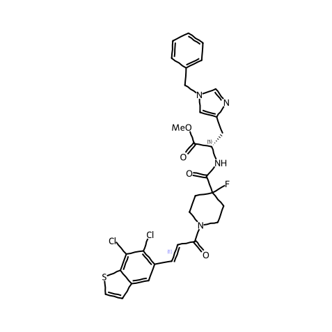 COC(=O)[C@H](Cc1cn(Cc2ccccc2)cn1)NC(=O)C1(F)CCN(C(=O)/C=C/c2cc3ccsc3c(Cl)c2Cl)CC1